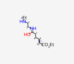 CCNCCNC(O)CC/C=C/C(=O)OCC